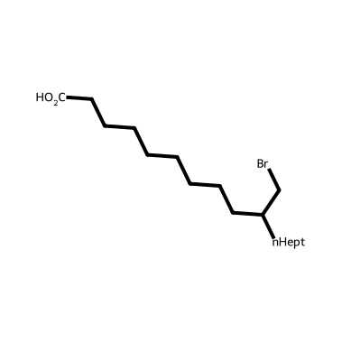 CCCCCCCC(CBr)CCCCCCCCC(=O)O